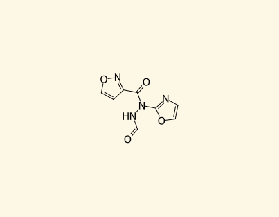 O=CNN(C(=O)c1ccon1)c1ncco1